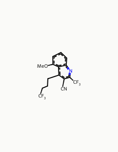 COc1cccc2nc(C(F)(F)F)c(C#N)c(CCCC(F)(F)F)c12